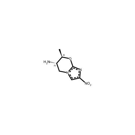 C[C@H]1Oc2nc([N+](=O)[O-])cn2C[C@@H]1N